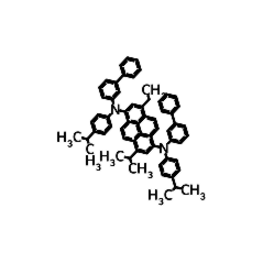 CCc1cc(N(c2ccc(C(C)C)cc2)c2cccc(-c3ccccc3)c2)c2ccc3c(C(C)C)cc(N(c4ccc(C(C)C)cc4)c4cccc(-c5ccccc5)c4)c4ccc1c2c34